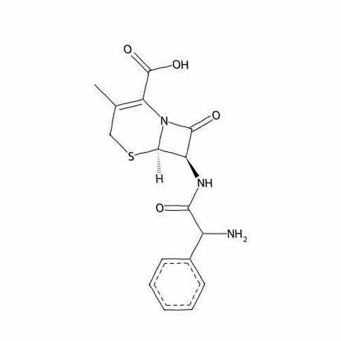 CC1=C(C(=O)O)N2C(=O)[C@@H](NC(=O)C(N)c3ccccc3)[C@H]2SC1